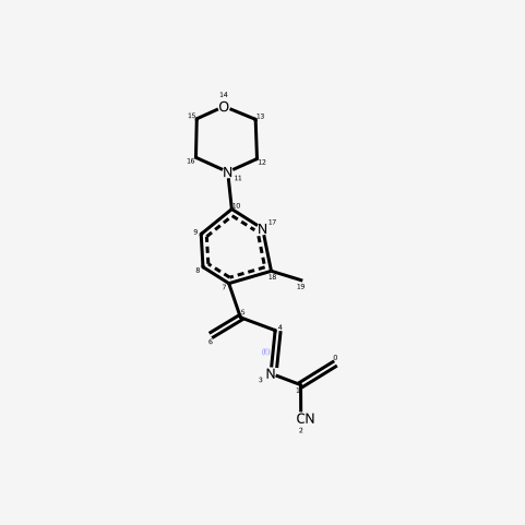 C=C(C#N)/N=C/C(=C)c1ccc(N2CCOCC2)nc1C